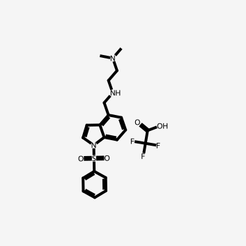 CN(C)CCNCc1cccc2c1ccn2S(=O)(=O)c1ccccc1.O=C(O)C(F)(F)F